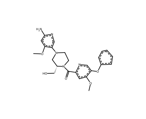 COc1cc(C(=O)N2CCN(c3cnc(N)cc3OC)C[C@H]2CO)ncc1Oc1ccccc1